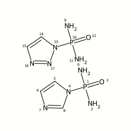 NP(N)(=O)n1ccnc1.NP(N)(=O)n1ccnn1